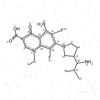 CCn1cc(C(=O)O)c(=O)c2c(N)c(F)c(N3CCC(C(N)C(C)C)C3)c(F)c21